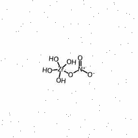 O=[N+]([O-])[O][Zr]([OH])([OH])([OH])[OH]